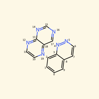 c1ccc2nnccc2c1.c1cnc2ncncc2n1